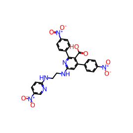 O=C(O)c1c(-c2ccc([N+](=O)[O-])cc2)cc(NCCNc2ccc([N+](=O)[O-])cn2)nc1-c1ccc([N+](=O)[O-])cc1